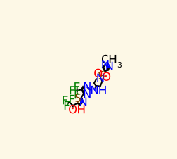 Cn1cc(S(=O)(=O)N2CCC(Nc3ncc(C(F)(F)F)c(-c4ncc(C(O)C(F)(F)F)s4)n3)CC2)cn1